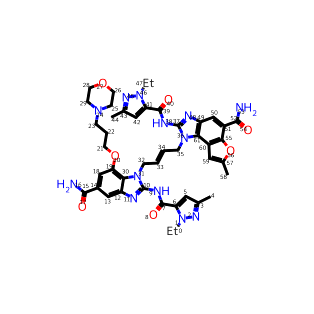 CCn1nc(C)cc1C(=O)Nc1nc2cc(C(N)=O)cc(OCCCN3CCOCC3)c2n1C/C=C/Cn1c(NC(=O)c2cc(C)nn2CC)nc2cc(C(N)=O)c3oc(C)cc3c21